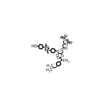 CC(C)Cc1ccc(C(C)C(=O)OC(COC(=O)CC(CO[N+](=O)[O-])O[N+](=O)[O-])C(=O)Oc2ccc(P3(=S)SP(=S)(c4ccc(O)cc4)S3)cc2)cc1